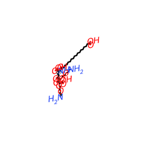 NCCOCCOC(C(=O)O)C(=O)C(OCCOCCN)C(=O)CC[C@H](NC(=O)CCCCCCCCCCCCCCCCC(=O)O)C(=O)O